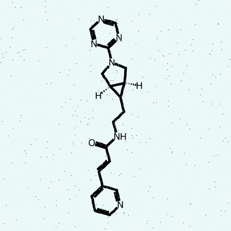 O=C(/C=C/c1cccnc1)NCCC1[C@H]2CN(c3ncncn3)C[C@@H]12